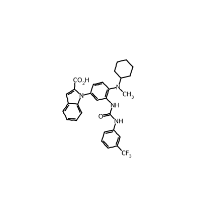 CN(c1ccc(-n2c(C(=O)O)cc3ccccc32)cc1NC(=O)Nc1cccc(C(F)(F)F)c1)C1CCCCC1